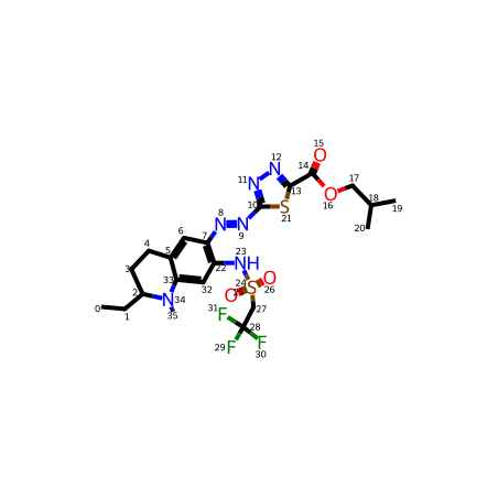 CCC1CCc2cc(N=Nc3nnc(C(=O)OCC(C)C)s3)c(NS(=O)(=O)CC(F)(F)F)cc2N1C